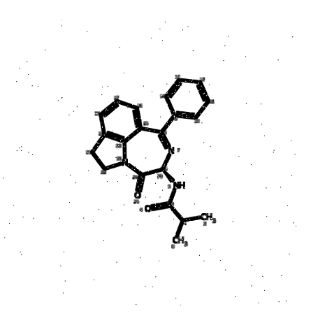 CC(C)C(=O)N[C@@H]1N=C(c2ccccc2)c2cccc3c2N(CC3)C1=O